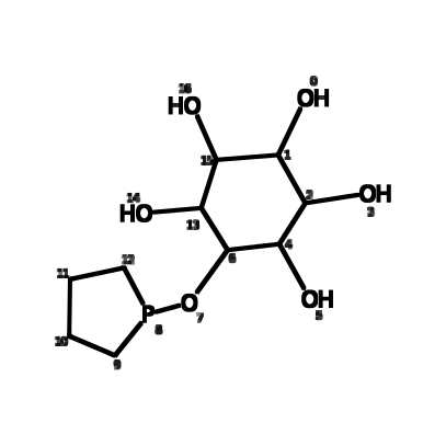 OC1C(O)C(O)C(OP2CCCC2)C(O)C1O